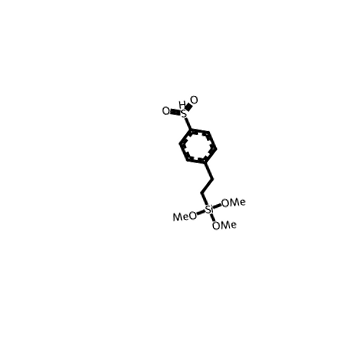 CO[Si](CCc1ccc([SH](=O)=O)cc1)(OC)OC